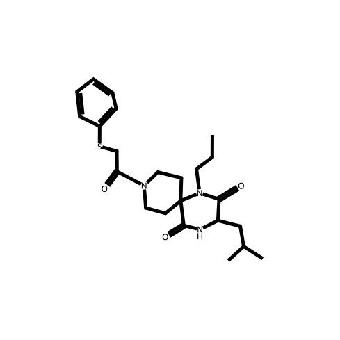 CCCN1C(=O)C(CC(C)C)NC(=O)C12CCN(C(=O)CSc1ccccc1)CC2